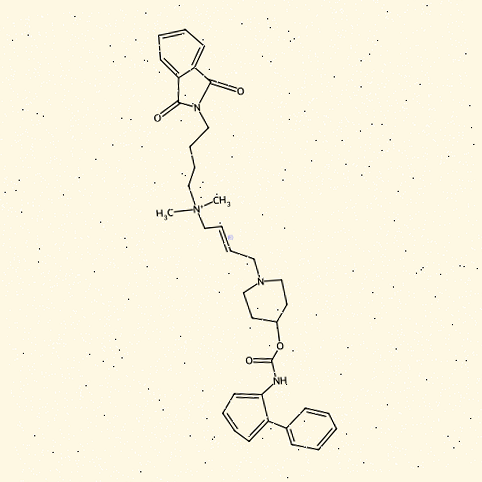 C[N+](C)(C/C=C/CN1CCC(OC(=O)Nc2ccccc2-c2ccccc2)CC1)CCCCN1C(=O)c2ccccc2C1=O